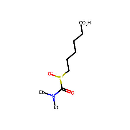 CCN(CC)C(=O)[S+]([O-])CCCCCC(=O)O